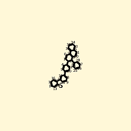 C1=CC(c2ccc(-c3ccc4sc5ccccc5c4c3)cc2)C(c2ccccc2)c2ccc3ccccc3c21